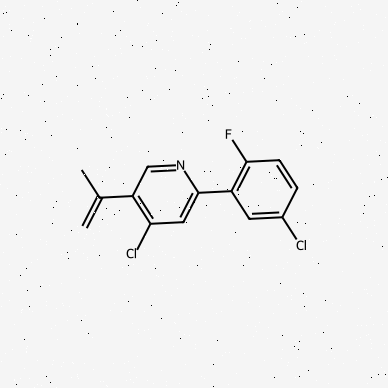 C=C(C)c1cnc(-c2cc(Cl)ccc2F)cc1Cl